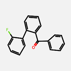 O=C(c1ccccc1)c1ccccc1-c1ccccc1F